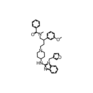 COc1cccc(C(CCN2CCC(Nc3nc4ccccc4n3Cc3ccoc3)CC2)CN(C)C(=O)c2ccccc2)c1